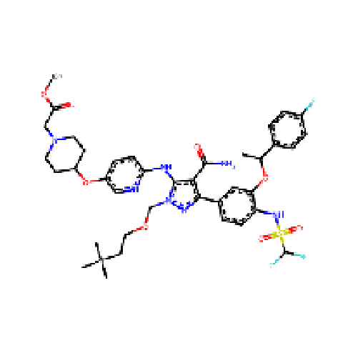 C[C@H](Oc1cc(-c2nn(COCC[Si](C)(C)C)c(Nc3ccc(OC4CCN(CC(=O)OC(C)(C)C)CC4)cn3)c2C(N)=O)ccc1NS(=O)(=O)C(F)F)c1ccc(F)cc1